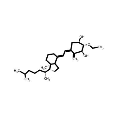 C=C1/C(=C\C=C2CCC[C@@]3(C)C2CC[C@@H]3[C@H](C)CCCC(C)C)C[C@@H](O)[C@H](OCC)[C@H]1O